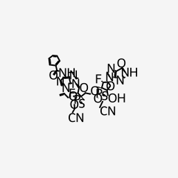 C=CCOP(=S)(OCCC#N)[C@@]1(C)C(COP(=S)(OCCC#N)[C@@]2(C)C(CO)OC(n3cnc4c(=O)[nH]cnc43)[C@@H]2F)OC(n2cnc3c(NC(=O)c4ccccc4)ncnc32)[C@@H]1F